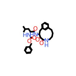 CC(C)CC(NC(=O)OCc1ccccc1)C(=O)NC1Cc2cccc(c2)CCCCNC(=O)C1=O